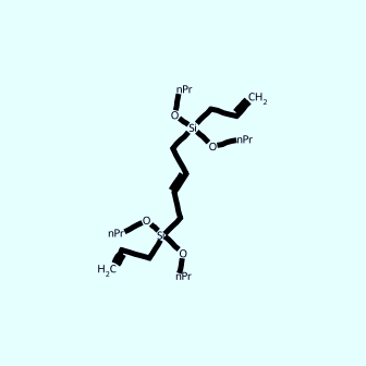 C=CC[Si](C/C=C/C[Si](CC=C)(OCCC)OCCC)(OCCC)OCCC